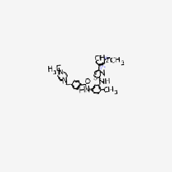 C=C/C(=C\C=C/C)c1csc(Nc2cc(NC(=O)c3ccc(CN4CCN(C)CC4)cc3)ccc2C)n1